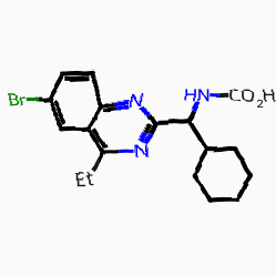 CCc1nc(C(NC(=O)O)C2CCCCC2)nc2ccc(Br)cc12